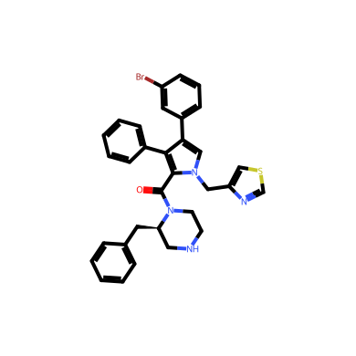 O=C(c1c(-c2ccccc2)c(-c2cccc(Br)c2)cn1Cc1cscn1)N1CCNC[C@H]1Cc1ccccc1